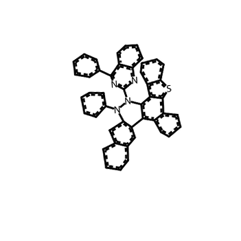 c1ccc(-c2nc(N3c4c(c5ccccc5c5sc6ccccc6c45)-c4cc5ccccc5cc4N3c3ccccc3)nc3ccccc23)cc1